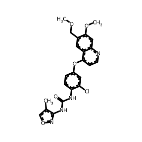 COCc1cc2c(Oc3ccc(NC(=O)Nc4nocc4C)c(Cl)c3)ccnc2cc1OC